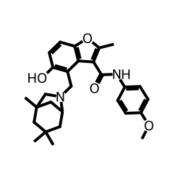 COc1ccc(NC(=O)c2c(C)oc3ccc(O)c(CN4CC5(C)CC4CC(C)(C)C5)c23)cc1